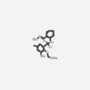 CCC(CC)(Pc1ccccc1/C=N/C(C)(C)C)c1cc(C)cc(C(C)(C)C)c1OCOC